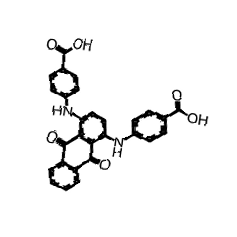 O=C(O)c1ccc(Nc2ccc(Nc3ccc(C(=O)O)cc3)c3c2C(=O)c2ccccc2C3=O)cc1